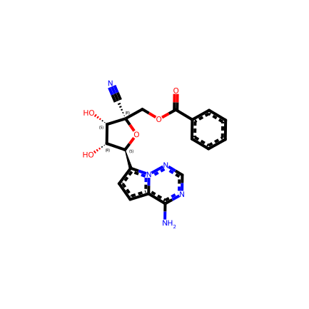 N#C[C@]1(COC(=O)c2ccccc2)O[C@@H](c2ccc3c(N)ncnn23)[C@H](O)[C@@H]1O